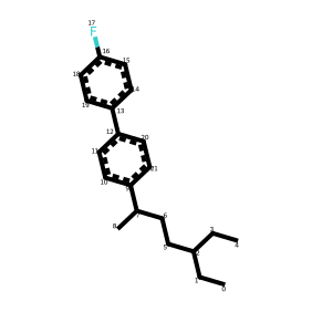 CCC(CC)CCC(C)c1ccc(-c2ccc(F)cc2)cc1